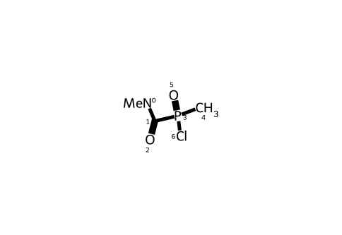 CNC(=O)P(C)(=O)Cl